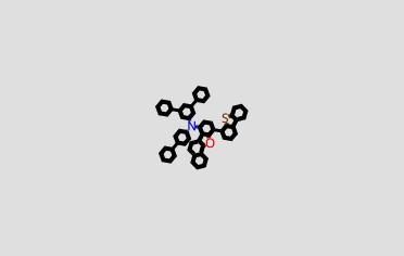 c1ccc(-c2ccc(N(c3cc(-c4ccccc4)cc(-c4ccccc4)c3)c3ccc(-c4cccc5c4sc4ccccc45)c4oc5c6ccccc6ccc5c34)cc2)cc1